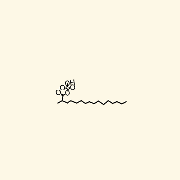 CCCCCCCCCCCCCCC(C)C(=O)OS(=O)(=O)O